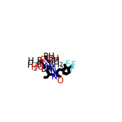 BC1(B)OC(B)(O)C(B)(B)N(c2cc(CC)c3nc(C=O)c(Cc4cccc(C(F)(F)F)c4C)n3n2)C1(B)O